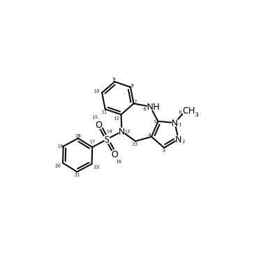 Cn1ncc2c1Nc1ccccc1N(S(=O)(=O)c1ccccc1)C2